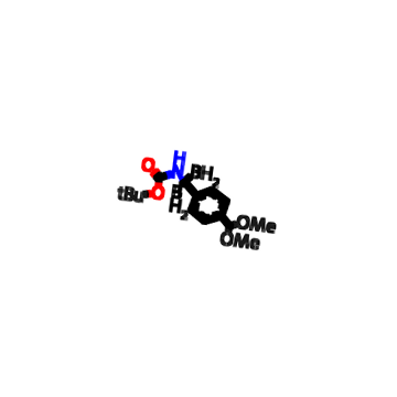 BC(B)(NC(=O)OC(C)(C)C)c1ccc(C(OC)OC)cc1